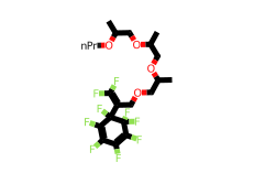 CCCOC(C)COC(C)COC(C)COCC(=C(F)F)C1(F)C(F)=C(F)C(F)=C(F)C1(F)F